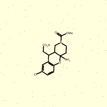 COC(=O)N1CCC2(N)Oc3ccc(Cl)cc3C(CC(=O)O)C2C1